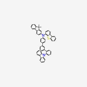 CC1(C)c2ccccc2-c2ccc(N(c3ccc(-c4cccc(-c5ccccc5-n5c6ccccc6c6ccccc65)c4)cc3)c3cccc4c3sc3ccccc34)cc21